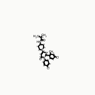 Cc1cc(Cl)ccc1-c1nc(N2CCC(NC(=O)C(C)C)CC2)cc(=O)n1-c1ccc(Cl)cc1